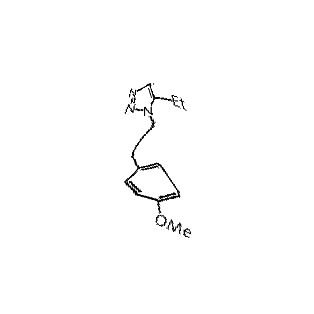 CCc1[c]nnn1CCc1ccc(OC)cc1